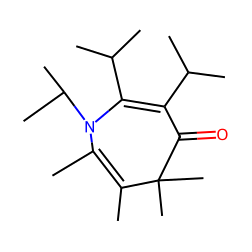 CC1=C(C)C(C)(C)C(=O)C(C(C)C)=C(C(C)C)N1C(C)C